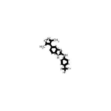 Cc1noc(C)c1-c1ccc2[nH]c(Nc3ccc(C(F)(F)F)cc3)nc2c1